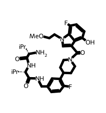 COCCn1cc(C(=O)N2CCC(c3cc(CNC(=O)[C@@H](NC(=O)[C@@H](N)C(C)C)C(C)C)ccc3F)CC2)c2c(O)ccc(F)c21